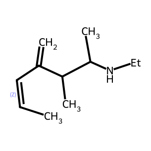 C=C(/C=C\C)C(C)C(C)NCC